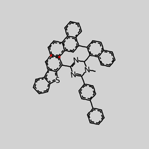 CN1C(c2ccc(-c3ccccc3)cc2)=NC(c2cccc3c2sc2ccccc23)=NC1c1c(-c2cc3ccccc3c3ccccc23)ccc2ccccc12